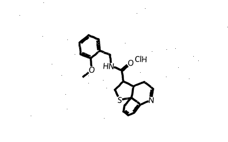 COc1ccccc1CNC(=O)C1CSC23CC=CC=C2N=CCC13.Cl